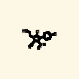 N#Cc1c([N+](=O)[O-])c(-c2ccc(Cl)cc2)c(Cl)n1CCO